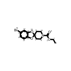 CCOC(=O)N1CCC2(CC1)Oc1ccc(Br)cc1O2